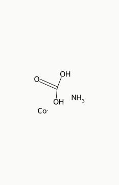 N.O=C(O)O.[Co]